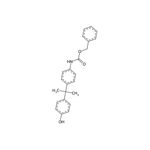 CC(C)(c1ccc(O)cc1)c1ccc(NC(=O)OCc2ccccc2)cc1